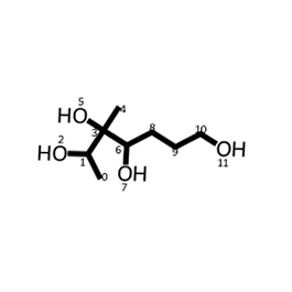 CC(O)C(C)(O)C(O)CCCO